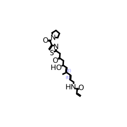 C=CC(=O)NC/C=C/C(C)=C/C(O)CC(=O)Cc1nc(C(=O)N2CCCC2)cs1